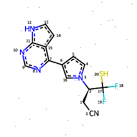 N#CC[C@@H](n1ccc(-c2ncnc3[nH]ccc23)c1)C(F)(F)S